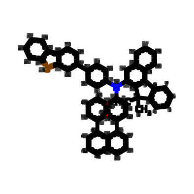 CC1(C)c2ccccc2-c2c1c(N(c1ccc(-c3ccc4c(c3)sc3ccccc34)cc1)c1ccc(-c3cccc4cccc(-c5ccccc5)c34)cc1)cc1ccccc21